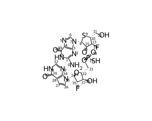 Nc1nc2c(ncn2[C@@H]2S[C@H](CO)[C@@H](F)[C@H]2OP(=O)(S)OC[C@H]2O[C@@H](n3ccc4c(=O)[nH]cnc43)[C@@H](F)[C@@H]2O)c(=O)[nH]1